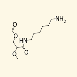 COC(COC=O)C(=O)NCCCCCCN